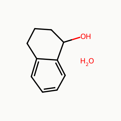 O.OC1CCCc2ccccc21